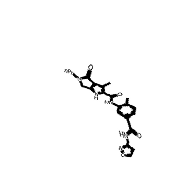 CCCN1Cc2[nH]c(C(=O)Nc3cc(C(=O)Nc4ccon4)ccc3C)c(C)c2C1=O